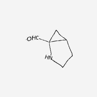 O=[C]C12CC1CCN2